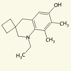 CCN1CC2(CCC2)Cc2cc(O)c(C)c(C)c21